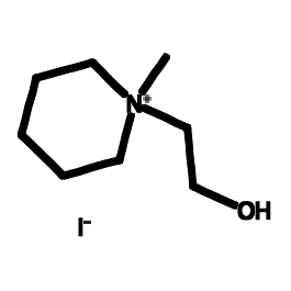 C[N+]1(CCO)CCCCC1.[I-]